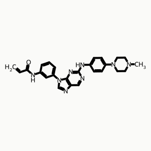 C=CC(=O)Nc1cccc(-n2cnc3cnc(Nc4ccc(N5CCN(C)CC5)cc4)nc32)c1